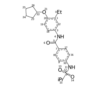 CCc1cc(NC(=O)c2ccc(NS(=O)(=O)C(C)C)cc2)ccc1OC1CCCC1